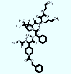 C=CCC[C@@H](NC(=O)[C@@H]1[C@@H]2C(CN1C(=O)[C@H](C1CCCCC1)N(C)C(=O)C(NC(=O)OC(C)(C)C)C1CCN(C(=O)OCc3ccccc3)CC1)C2(C)C)C(=O)C(=O)NCC=C